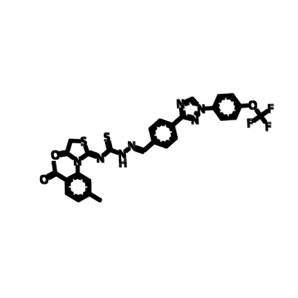 CC(=O)c1ccc(C)cc1N1C(=O)CS/C1=N\C(=S)N/N=C/c1ccc(-c2ncn(-c3ccc(OC(F)(F)F)cc3)n2)cc1